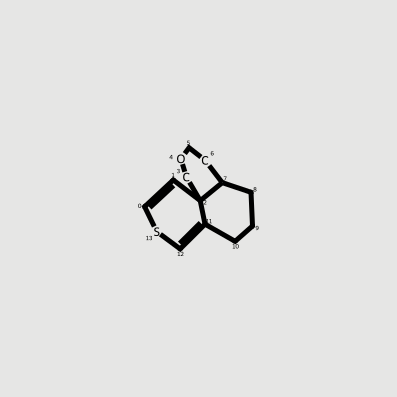 C1=CC23COCCC2CCCC3=CS1